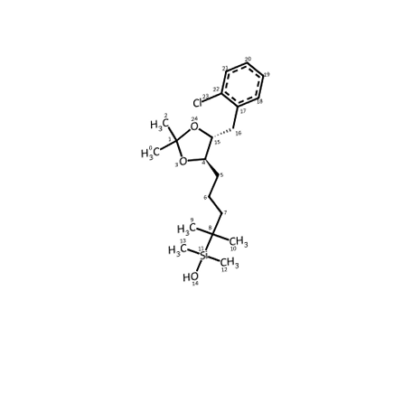 CC1(C)O[C@H](CCCC(C)(C)[Si](C)(C)O)[C@@H](Cc2ccccc2Cl)O1